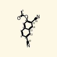 CC(=O)Oc1cc2ccc(C#N)cc2cc1C#N